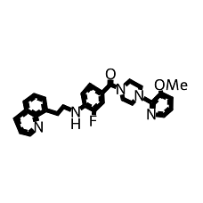 COc1cccnc1N1CCN(C(=O)c2ccc(NCCc3cccc4cccnc34)c(F)c2)CC1